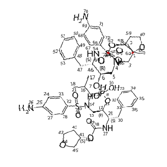 CC(C)CN(C[C@@H](O[PH](O)(O)O[C@H](CN(CC(C)C)S(=O)(=O)c1ccc(N)cc1)[C@H](Cc1ccccc1)NC(=O)O[C@H]1CCOC1)[C@H](Cc1ccccc1)NC(=O)O[C@H]1CCOC1)S(=O)(=O)c1ccc(N)cc1